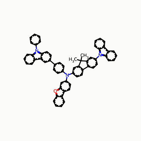 CC1(C)c2cc(N(c3ccc(-c4ccc5c(c4)c4ccccc4n5-c4ccccc4)cc3)c3ccc4c(c3)oc3ccccc34)ccc2-c2ccc(-n3c4ccccc4c4ccccc43)cc21